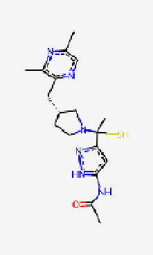 CC(=O)Nc1cc(C(C)(S)N2CC[C@H](Cc3ncc(C)nc3C)C2)n[nH]1